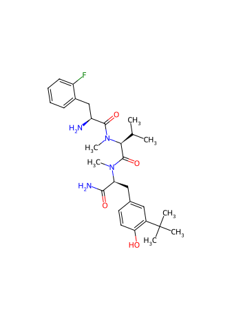 CC(C)[C@@H](C(=O)N(C)[C@@H](Cc1ccc(O)c(C(C)(C)C)c1)C(N)=O)N(C)C(=O)[C@@H](N)Cc1ccccc1F